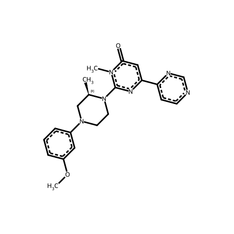 COc1cccc(N2CCN(c3nc(-c4ccncn4)cc(=O)n3C)[C@H](C)C2)c1